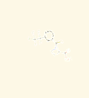 O=C(O)C1CCN1C(=S)c1cccc(C(F)(F)C(F)(F)F)c1